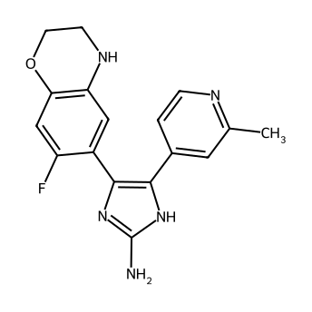 Cc1cc(-c2[nH]c(N)nc2-c2cc3c(cc2F)OCCN3)ccn1